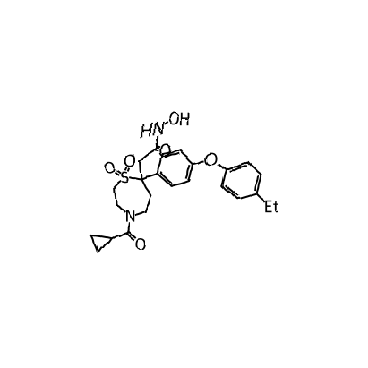 CCc1ccc(Oc2ccc(C3(CC(=O)NO)CCN(C(=O)C4CC4)CCS3(=O)=O)cc2)cc1